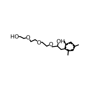 Cc1cc(C)c(CC(O)COCCOCCOCCO)c(C)c1